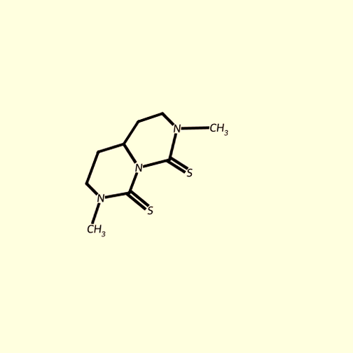 CN1CCC2CCN(C)C(=S)N2C1=S